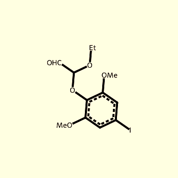 CCOC(C=O)Oc1c(OC)cc(I)cc1OC